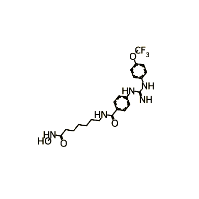 N=C(Nc1ccc(OC(F)(F)F)cc1)Nc1ccc(C(=O)NCCCCCCC(=O)NO)cc1